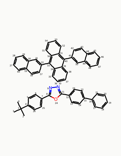 CC(C)(C)c1ccc(-c2nnc(-c3ccc(-c4ccccc4)cc3)o2)cc1.c1ccc2cc(-c3c4ccccc4c(-c4ccc5ccccc5c4)c4ccccc34)ccc2c1